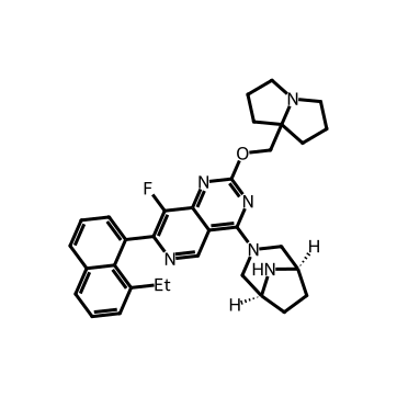 CCc1cccc2cccc(-c3ncc4c(N5C[C@H]6CC[C@@H](C5)N6)nc(OCC56CCCN5CCC6)nc4c3F)c12